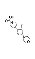 O=C(O)N1CC=C(c2ccc(N3CCOCC3)cc2F)CC1